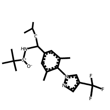 Cc1cc(C(CC(C)C)N[S+]([O-])C(C)(C)C)cc(C)c1-n1cc(C(F)(F)F)cn1